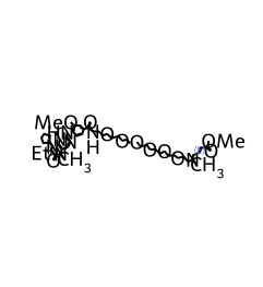 CC[C@@H]1C(=O)N(C)c2cnc(Nc3ccc(C(=O)NCCOCCOCCOCCOCCOCCOCCN(C)C/C=C/C(=O)OC)cc3OC)nc2N1C1CCCC1